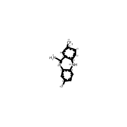 NC1=Nc2cc(F)ccc2Nc2ccc(C(F)(F)F)cc21